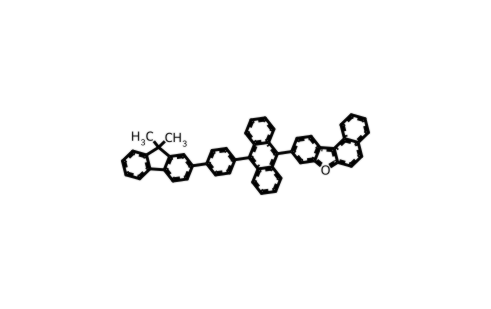 CC1(C)c2ccccc2-c2ccc(-c3ccc(-c4c5ccccc5c(-c5ccc6c(c5)oc5ccc7ccccc7c56)c5ccccc45)cc3)cc21